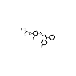 O=C(O)COc1ccc(SCC=C(c2ccccc2)c2ccc(F)cc2)cc1I